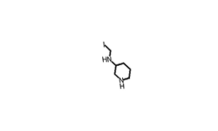 ICNC1CCCNC1